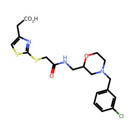 O=C(O)Cc1csc(SCC(=O)NCC2CN(Cc3cccc(Cl)c3)CCO2)n1